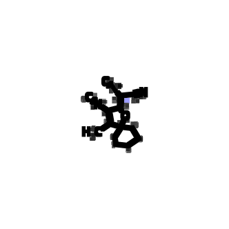 [C-]#[N+]C1=C(C)C2(CCCCC2)O/C1=C(\C#N)[N+]#[C-]